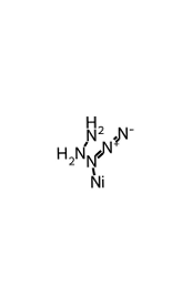 NN.[N-]=[N+]=[N][Ni]